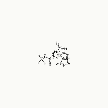 Cc1nsnc1[C@@]1(CNC(=O)OC(C)(C)C)NC(=O)NC1=O